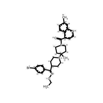 CCO/N=C(\c1ccc(Br)cc1)C1CCN(C2(C)CCN(C(=O)c3ccnc4cc(C)ccc34)CC2)CC1